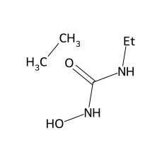 CC.CCNC(=O)NO